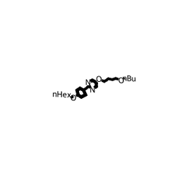 CCCCCCOc1ccc(-c2ncc(OCCCCOCCCC)cn2)cc1